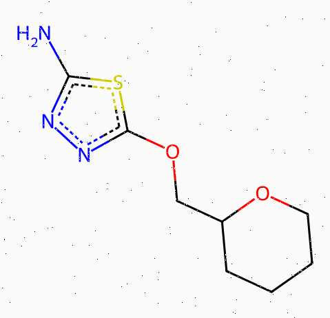 Nc1nnc(OCC2CCCCO2)s1